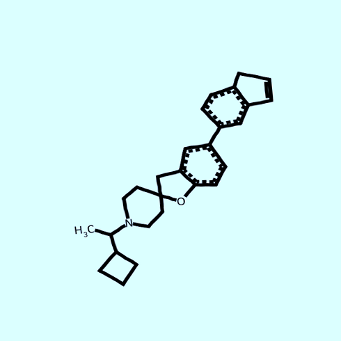 CC(C1CCC1)N1CCC2(CC1)Cc1cc(-c3ccc4c(c3)C=CC4)ccc1O2